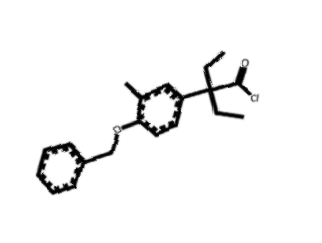 CCC(CC)(C(=O)Cl)c1ccc(OCc2ccccc2)c(C)c1